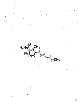 CCC=CC=CCc1cnc(F)c(C(N)=O)c1C